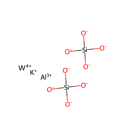 [Al+3].[K+].[O-][Si]([O-])([O-])[O-].[O-][Si]([O-])([O-])[O-].[W+4]